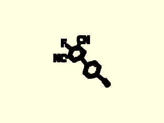 C#Cc1ccc(-c2cc(C#N)c(F)c(C#N)c2)cc1